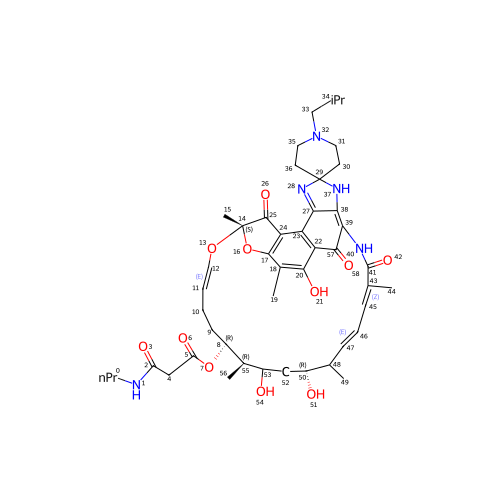 CCCNC(=O)CC(=O)O[C@@H]1CC/C=C/O[C@@]2(C)Oc3c(C)c(O)c4c(c3C2=O)C2=NC3(CCN(CC(C)C)CC3)NC2=C(NC(=O)/C(C)=C\C=C\C(C)[C@H](O)CC(O)[C@H]1C)C4=O